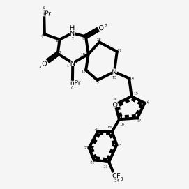 CCCN1C(=O)C(CC(C)C)NC(=O)C12CCN(Cc1ccc(-c3cccc(C(F)(F)F)c3)o1)CC2